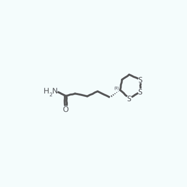 NC(=O)CCCC[C@@H]1CCSSS1